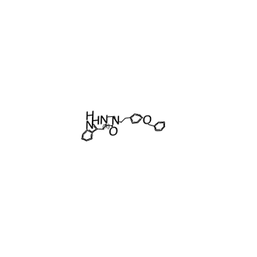 O=C1[C@@H](Cc2c[nH]c3ccccc23)NCCN1CCc1ccc(OCc2ccccc2)cc1